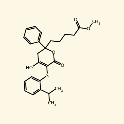 COC(=O)CCCCC1(c2ccccc2)CC(O)=C(Sc2ccccc2C(C)C)C(=O)O1